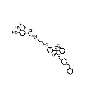 O=C1C=CC2C(C(O)CNCCCCCOc3cccc(C(O)(C(=O)OCC4CCN(Cc5ccccc5)CC4)c4ccccc4Cl)c3)=CC=C(O)C2N1